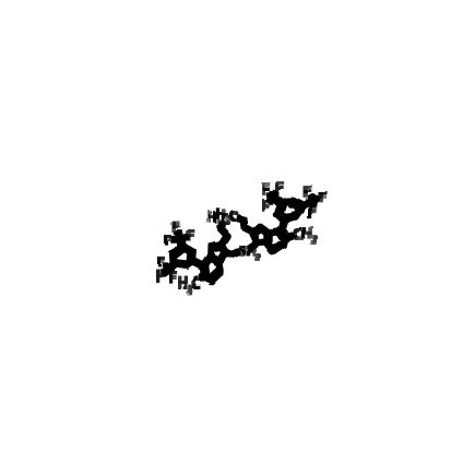 CCCC1=Cc2c(ccc(C)c2-c2cc(C(F)(F)F)cc(C(F)(F)F)c2)C1C[SiH2]CC1C(CCC)=Cc2c1ccc(C)c2-c1cc(C(F)(F)F)cc(C(F)(F)F)c1